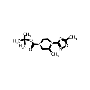 Cc1nc(N2CCN(C(=O)OC(C)(C)C)CC2C)no1